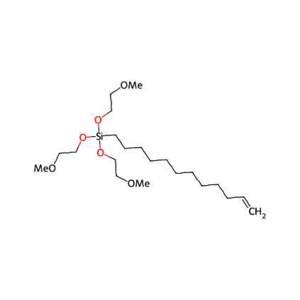 C=CCCCCCCCCCC[Si](OCCOC)(OCCOC)OCCOC